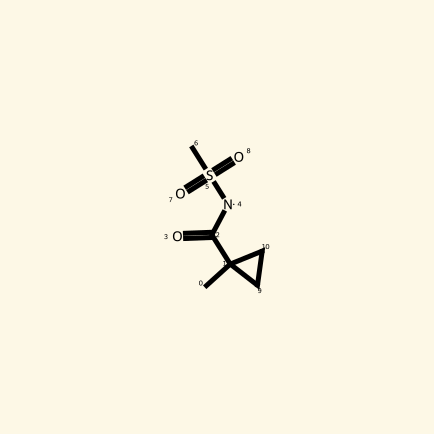 CC1(C(=O)[N]S(C)(=O)=O)CC1